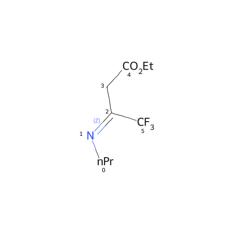 CCC/N=C(/CC(=O)OCC)C(F)(F)F